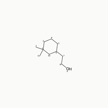 CC1(C)CCCC(C[CH]O)C1